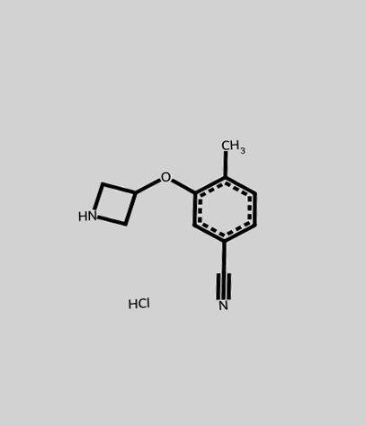 Cc1ccc(C#N)cc1OC1CNC1.Cl